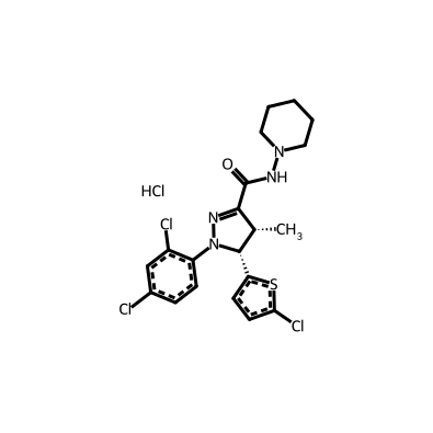 C[C@H]1C(C(=O)NN2CCCCC2)=NN(c2ccc(Cl)cc2Cl)[C@H]1c1ccc(Cl)s1.Cl